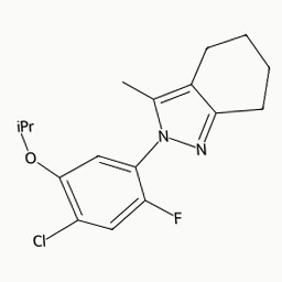 Cc1c2c(nn1-c1cc(OC(C)C)c(Cl)cc1F)CCCC2